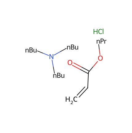 C=CC(=O)OCCC.CCCCN(CCCC)CCCC.Cl